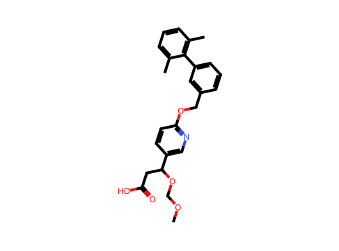 COCOC(CC(=O)O)c1ccc(OCc2cccc(-c3c(C)cccc3C)c2)nc1